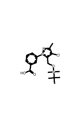 Cc1nn(-c2cccc(C(=O)O)c2)c(CO[Si](C)(C)C(C)(C)C)c1Cl